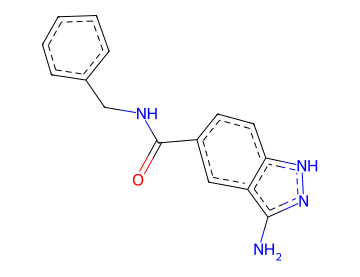 Nc1n[nH]c2ccc(C(=O)NCc3ccccc3)cc12